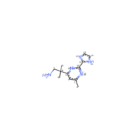 Cc1cc(C(C)(C)CN)nc(-c2ncc[nH]2)n1